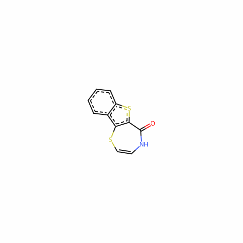 O=C1NC=CSc2c1sc1ccccc21